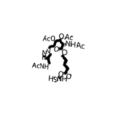 CC(=O)NCc1cn(CC2O[C@@H](OCCCCC(=O)ONS)[C@@H](NC(C)=O)C(OC(C)=O)[C@H]2OC(C)=O)nn1